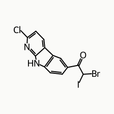 O=C(c1ccc2[nH]c3nc(Cl)ccc3c2c1)C(Br)I